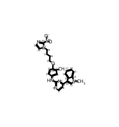 Cc1cc(Nc2nccc(-c3cn(C)c4ccccc34)n2)ccc1OCCCCn1ccnc1[N+](=O)[O-]